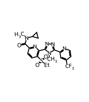 CCS(=O)(=O)c1ccc(C(=O)N(C)C2CC2)nc1-c1nnc(-c2cc(C(F)(F)F)ccn2)n1C